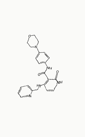 O=C(Nc1ccc(N2CCOCC2)cc1)c1c(NCc2ccccn2)cc[nH]c1=O